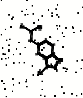 CCc1n[nH]c2ccc(/C=C(\C#N)C(C)=O)cc12